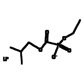 CCOP(=O)([O-])C(=O)OCC(C)C.[Li+]